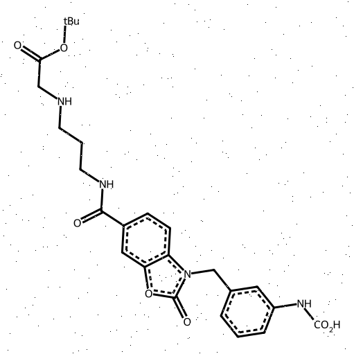 CC(C)(C)OC(=O)CNCCCNC(=O)c1ccc2c(c1)oc(=O)n2Cc1cccc(NC(=O)O)c1